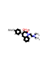 COc1ccc([C@@H]2Cc3ccccc3N(CCN(C)C)C(=O)[C@H]2O)cc1